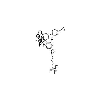 CS(=O)(=O)N1C(=O)C=C(c2ccc(C3CC3)cc2)CC1(c1ccc(OCCCCCC(F)(F)F)cc1F)C(F)(F)F